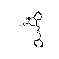 O=C(O)N1CC(=NOCc2ccccc2)c2ccccc2N1